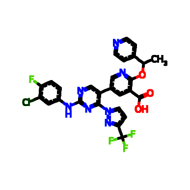 CC(Oc1ncc(-c2cnc(Nc3ccc(F)c(Cl)c3)nc2-n2ccc(C(F)(F)F)n2)cc1C(=O)O)c1ccncc1